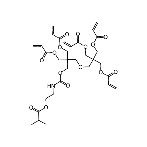 C=CC(=O)OCC(COCC(COC(=O)C=C)(COC(=O)C=C)COC(=O)NCCOC(=O)C(C)C)(COC(=O)C=C)COC(=O)C=C